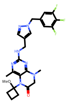 COC1(N2C(=O)CN(C)c3nc(NCc4cnn(Cc5cc(F)c(F)c(F)c5)c4)nc(C)c32)CCC1